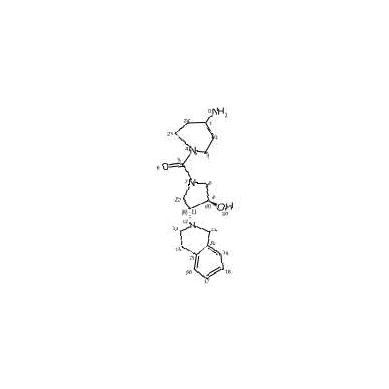 NC1CCN(C(=O)N2C[C@@H](O)[C@H](N3CCc4ccccc4C3)C2)CC1